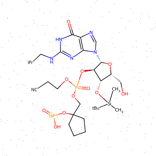 CC(C)CNc1nc2c(ncn2[C@@H]2O[C@H](CO)[C@H](O[Si](C)(C)C(C)(C)C)[C@H]2OP(=O)(OCCC#N)OCC2(O[PH](=O)O)CCCC2)c(=O)[nH]1